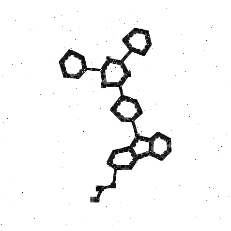 OBOc1ccc2c(c1)c1ccccc1n2-c1ccc(-c2nc(-c3ccccc3)nc(-c3ccccc3)n2)cc1